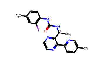 C[C@H](NC(=O)Nc1ccc(C(F)(F)F)cc1I)c1nccnc1-c1ccc(C#N)cn1